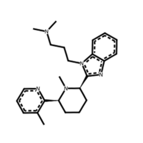 Cc1cccnc1[C@@H]1CCC[C@H](c2nc3ccccc3n2CCCN(C)C)N1C